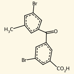 Cc1cc(Br)cc(C(=O)c2cc(Br)cc(C(=O)O)c2)c1